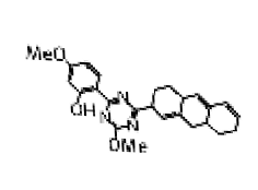 COc1ccc(-c2nc(OC)nc(C3C=C4CC5CCC=CC5=CC4CC3)n2)c(O)c1